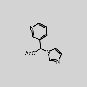 CC(=O)OC(c1cccnc1)n1ccnc1